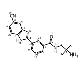 CC(C)(N)CNC(=O)c1cncc(-c2cc3cc(C#N)ccc3[nH]2)n1